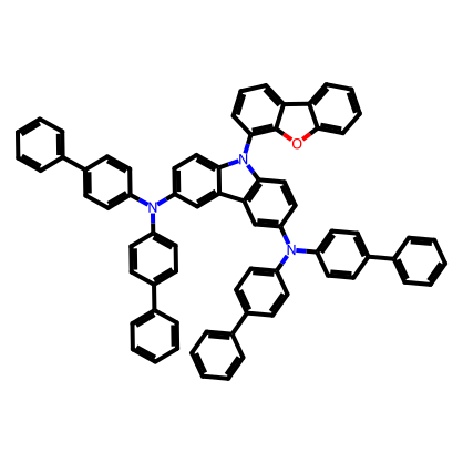 c1ccc(-c2ccc(N(c3ccc(-c4ccccc4)cc3)c3ccc4c(c3)c3cc(N(c5ccc(-c6ccccc6)cc5)c5ccc(-c6ccccc6)cc5)ccc3n4-c3cccc4c3oc3ccccc34)cc2)cc1